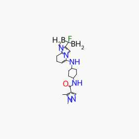 BC(B)(F)c1cn2c(n1)CCC=C2NC1CCC(NC(=O)c2cnn(C)c2C)CC1